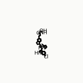 O=C(/C=C/c1ccc2c(c1)CCC2N(CCc1c[nH]c2cc(Cl)ccc12)Cc1ccc[nH]1)NO